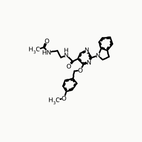 COc1ccc(COc2nc(N3CCc4ccccc43)ncc2C(=O)NCCNC(C)=O)cc1